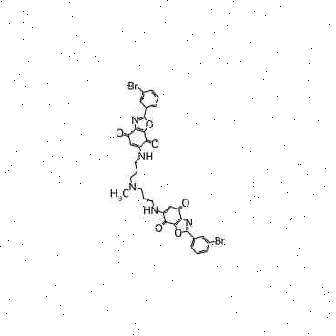 CN(CCCNC1=CC(=O)c2nc(-c3cccc(Br)c3)oc2C1=O)CCCNC1=CC(=O)c2nc(-c3cccc(Br)c3)oc2C1=O